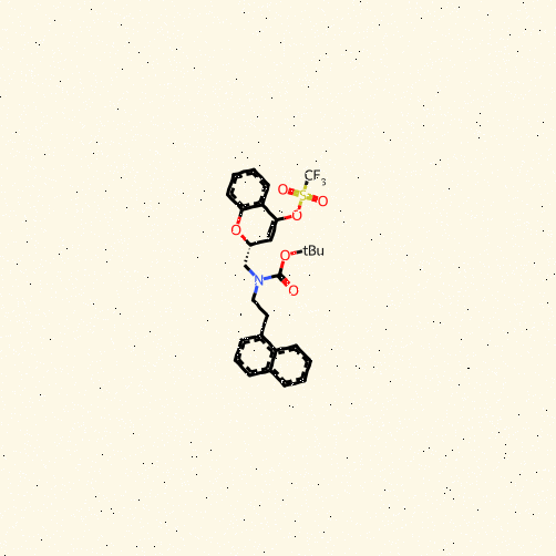 CC(C)(C)OC(=O)N(CCc1cccc2ccccc12)C[C@H]1C=C(OS(=O)(=O)C(F)(F)F)c2ccccc2O1